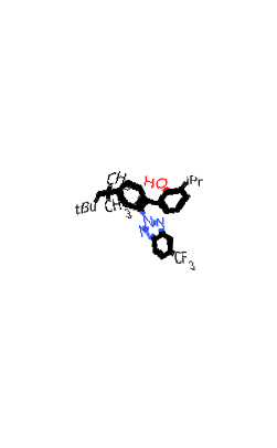 CC(C)c1cccc(-c2ccc(C(C)(C)CC(C)(C)C)cc2-n2nc3ccc(C(F)(F)F)cc3n2)c1O